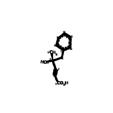 C[C@](O)(C#CC(=O)O)Cc1ccccc1